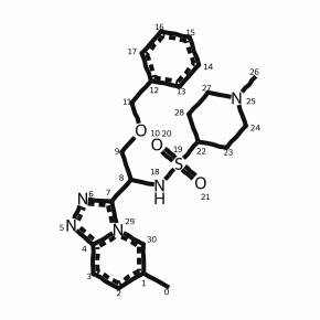 Cc1ccc2nnc(C(COCc3ccccc3)NS(=O)(=O)C3CCN(C)CC3)n2c1